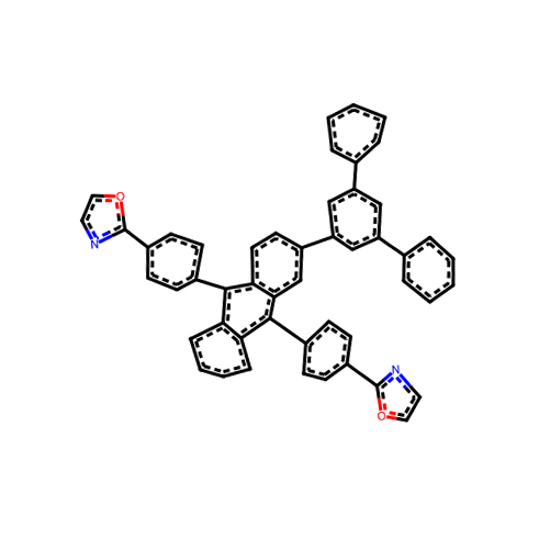 c1ccc(-c2cc(-c3ccccc3)cc(-c3ccc4c(-c5ccc(-c6ncco6)cc5)c5ccccc5c(-c5ccc(-c6ncco6)cc5)c4c3)c2)cc1